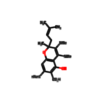 CCCCCc1cc2c(c(O)c1C(=O)O)C(NC)=C(NC)C(C)(CC=C(C)C)O2